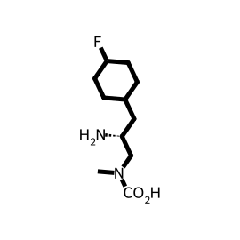 CN(C[C@H](N)CC1CCC(F)CC1)C(=O)O